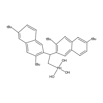 CC(C)(C)c1ccc2cc(C(C[PH](O)(O)O)c3cc4ccc(C(C)(C)C)cc4cc3C(C)(C)C)c(C(C)(C)C)cc2c1